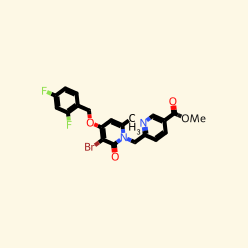 COC(=O)c1ccc(Cn2c(C)cc(OCc3ccc(F)cc3F)c(Br)c2=O)nc1